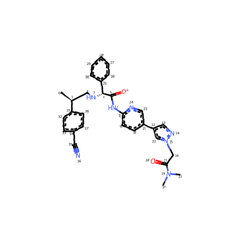 C[C@@H](CN[C@@H](C(=O)Nc1ccc(-c2cnn(CC(=O)N(C)C)c2)cn1)c1ccccc1)c1ccc(C#N)cc1